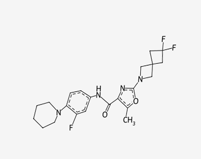 Cc1oc(N2CC3(C2)CC(F)(F)C3)nc1C(=O)Nc1ccc(N2CCCCC2)c(F)c1